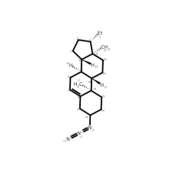 CC[C@H]1CC[C@H]2[C@@H]3CC=C4CC(N=[N+]=[N-])CC[C@]4(C)[C@H]3CC[C@]12C